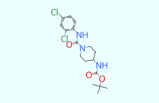 CC(C)(C)OC(=O)NC1CCN(C(=O)Nc2ccc(Cl)cc2Cl)CC1